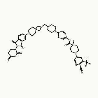 N#Cc1ncc(N2CCC(F)(C(=O)Nc3ccc(N4CCC(CN5CC6(CCN(c7ccc8c(c7)C(=O)N(C7CCC(=O)NC7=O)C8=O)CC6)C5)CC4)cn3)CC2)cc1C(F)(F)F